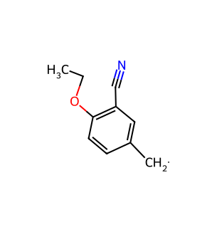 [CH2]c1ccc(OCC)c(C#N)c1